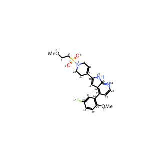 COCCS(=O)(=O)N1CC=C(c2cc3c(-c4cc(F)ccc4OC)ccnc3[nH]2)CC1